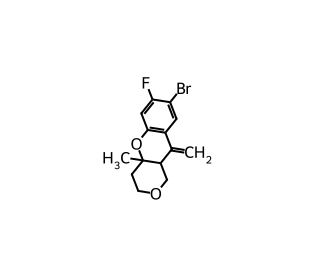 C=C1c2cc(Br)c(F)cc2OC2(C)CCOCC12